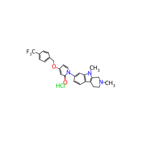 CN1CCc2c(n(C)c3cc(-n4ccc(OCc5ccc(C(F)(F)F)cc5)cc4=O)ccc23)C1.Cl